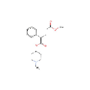 CN1CCC(OC(=O)C(CCC(=O)OC(C)(C)C)c2ccccc2)CC1